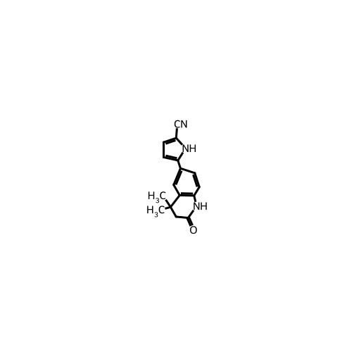 CC1(C)CC(=O)Nc2ccc(-c3ccc(C#N)[nH]3)cc21